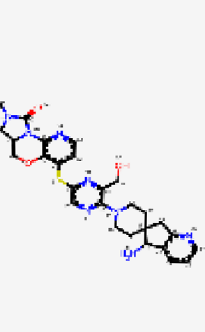 CN1CC2COc3c(Sc4cnc(N5CCC6(CC5)Cc5ncccc5[C@H]6N)c(CO)n4)ccnc3N2C1=O